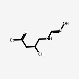 CCC(=O)CC(C)CNC=NO